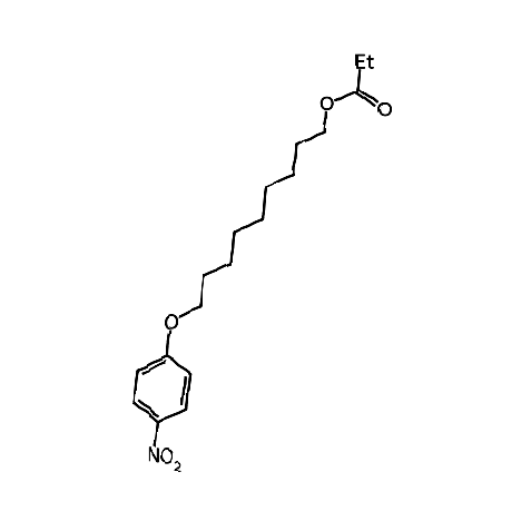 CCC(=O)OCCCCCCCCCOc1ccc([N+](=O)[O-])cc1